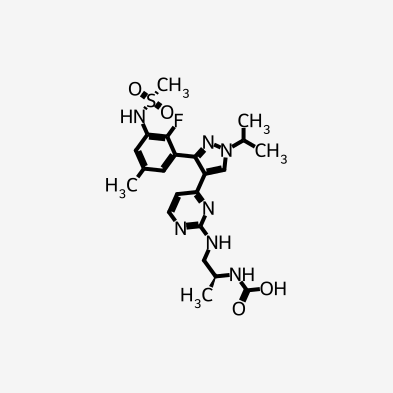 Cc1cc(NS(C)(=O)=O)c(F)c(-c2nn(C(C)C)cc2-c2ccnc(NC[C@H](C)NC(=O)O)n2)c1